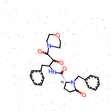 O=C(C(=O)N1CCOCC1)C(Cc1ccccc1)NC(=O)[C@H]1CCC(=O)N1Cc1ccccc1